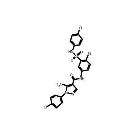 CCc1ccc(NC(=O)c2cnn(-c3ccc(Cl)cc3)c2C)cc1S(=O)(=O)Nc1ccc(Cl)cc1